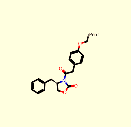 CCCC(C)COc1ccc(CC(=O)N2C(=O)OC[C@H]2Cc2ccccc2)cc1